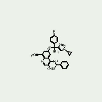 BC(Nc1cc(C#C)c2ncc(C#N)c(N[C@H](CC)c3ccccc3)c2c1)(c1ccc(F)cc1)c1cn(C2CC2)nn1